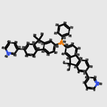 CC1(C)c2cc(-c3cccnc3)ccc2-c2ccc(P(c3ccccc3)c3ccc4c(c3)C(C)(C)c3cc(-c5cccnc5)ccc3-4)cc21